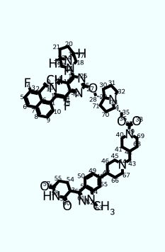 C#Cc1c(F)ccc2cccc(-c3ncc4c(N5C[C@H]6CC[C@@H](C5)N6)nc(OC[C@]56CCCN5[C@H](COC(=O)N5CCC(CN7CCC(c8ccc9c(C%10CCC(=O)NC%10=O)nn(C)c9c8)CC7)CC5)CC6)nc4c3F)c12